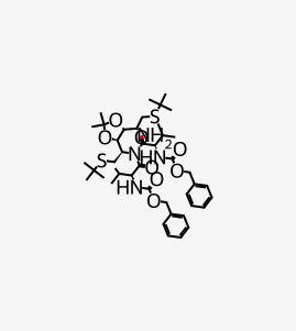 CC(C)[C@H](NC(=O)OCc1ccccc1)C(=O)N(C(=O)[C@@H](NC(=O)OCc1ccccc1)C(C)C)[C@@H](CSC(C)(C)C)[C@H]1OC(C)(C)O[C@@H]1[C@@H](N)CSC(C)(C)C